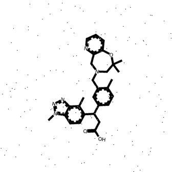 Cc1ccc(C(CC(=O)O)c2ccc3c(nnn3C)c2C)cc1CN1Cc2ncccc2OC(C)(C)C1